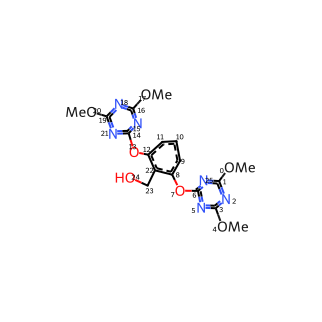 COc1nc(OC)nc(Oc2cccc(Oc3nc(OC)nc(OC)n3)c2CO)n1